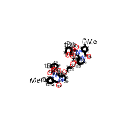 COc1ccc2c(c1)N(C(=O)OC(C)(C)C)[C@@H](OC1CCCCO1)[C@@H]1C(OCCCOC3CCN4C(=O)c5ccc(OC)cc5N(C(=O)OC(C)(C)C)[C@@H](OC5CCCCO5)[C@H]34)CCN1C2=O